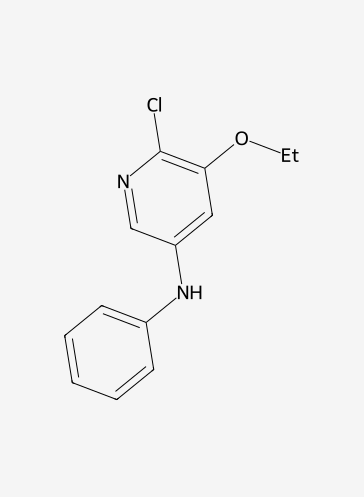 CCOc1cc(Nc2ccccc2)cnc1Cl